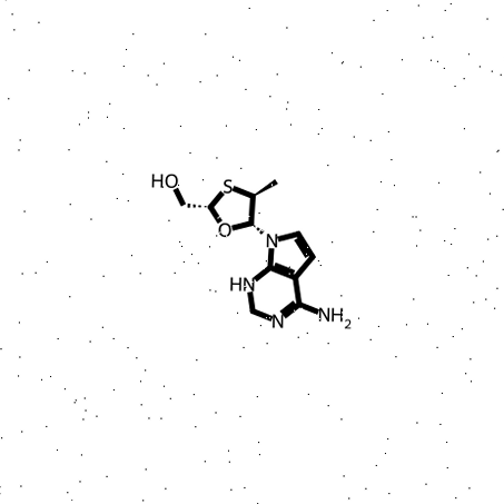 C[C@@H]1S[C@@H](CO)O[C@H]1n1ccc2c1NCN=C2N